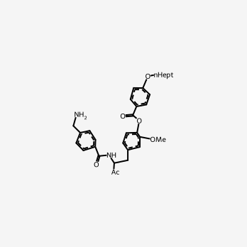 CCCCCCCOc1ccc(C(=O)Oc2ccc(CC(NC(=O)c3ccc(CN)cc3)C(C)=O)cc2OC)cc1